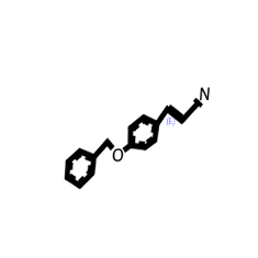 N#C/C=C/c1ccc(OCc2ccccc2)cc1